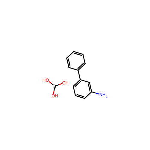 Nc1cccc(-c2ccccc2)c1.OB(O)O